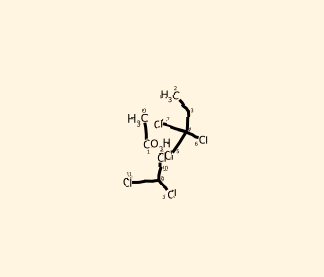 CC(=O)O.CCC(Cl)(Cl)Cl.ClC(Cl)Cl